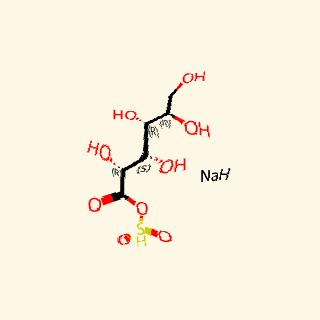 O=C(O[SH](=O)=O)[C@H](O)[C@@H](O)[C@H](O)[C@H](O)CO.[NaH]